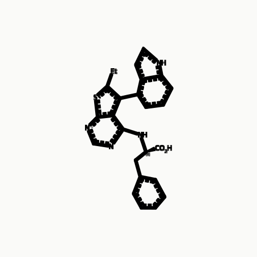 CCc1sc2ncnc(N[C@H](Cc3ccccc3)C(=O)O)c2c1-c1cccc2[nH]ccc12